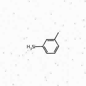 Cc1cccc([SiH3])c1